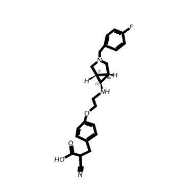 N#CC(Cc1ccc(OCCN[C@H]2[C@@H]3CN(Cc4ccc(F)cc4)C[C@@H]32)cc1)C(=O)O